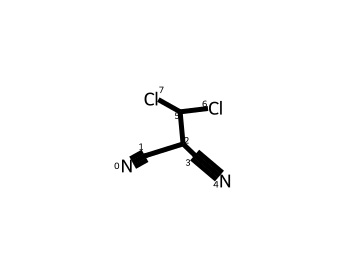 N#CC(C#N)C(Cl)Cl